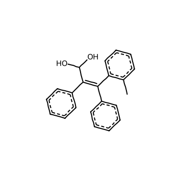 Cc1ccccc1C(=C(c1ccccc1)C(O)O)c1ccccc1